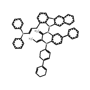 C=C1/C(=C\C)N(C2=CC=C(C3=CCCC=C3)CC2)c2ccc(-c3ccccc3)cc2N1B1c2cc3ccccc3cc2-c2cccc(C/C=C/N(c3ccccc3)c3ccccc3)c21